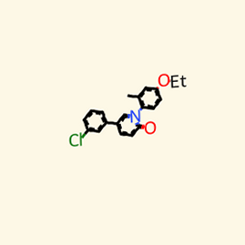 CCOc1ccc(-n2cc(-c3cccc(Cl)c3)ccc2=O)c(C)c1